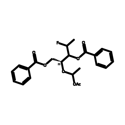 CC(=O)OC(C)O[C@H](COC(=O)c1ccccc1)C(OC(=O)c1ccccc1)C(C)F